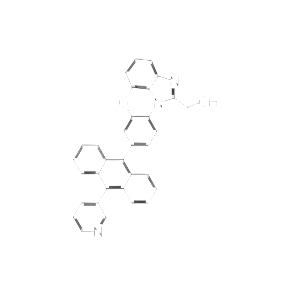 CCc1nc2cccc3c2n1-c1ccc(-c2c4ccccc4c(-c4cccnc4)c4ccccc24)cc1O3